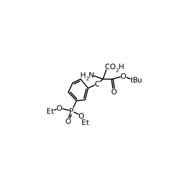 CCOP(=O)(OCC)c1cccc(CC(N)(C(=O)O)C(=O)OC(C)(C)C)c1